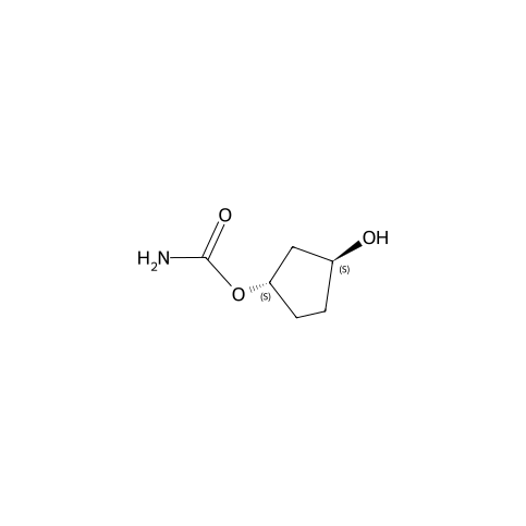 NC(=O)O[C@H]1CC[C@H](O)C1